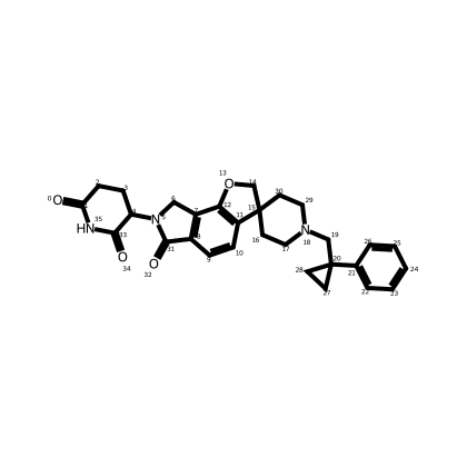 O=C1CCC(N2Cc3c(ccc4c3OCC43CCN(CC4(c5ccccc5)CC4)CC3)C2=O)C(=O)N1